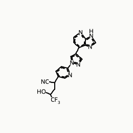 N#CC(CC(O)C(F)(F)F)c1ccc(-n2cc(-c3ccnc4[nH]cnc34)cn2)nc1